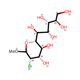 COC1O[C@H]([C@@H](O)[C@@H](O)[C@H](O)[C@H](O)CO)[C@@H](O)[C@H](O)[C@@H]1Br